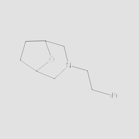 CC(C)CCN1CC2CCC(C1)O2